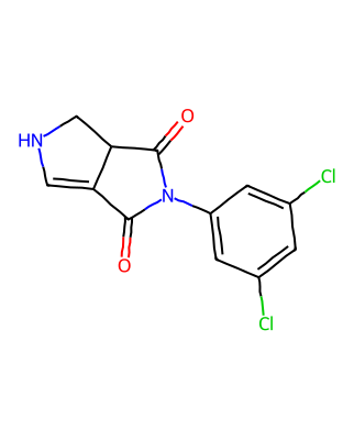 O=C1C2=CNCC2C(=O)N1c1cc(Cl)cc(Cl)c1